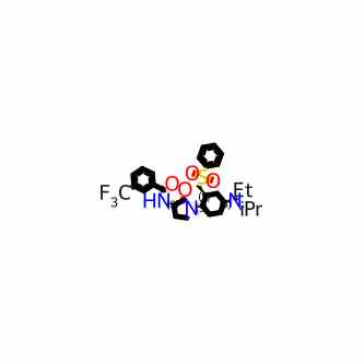 CCN(C(C)C)[C@H]1CC[C@H](N2CC[C@H](NC(=O)c3cccc(C(F)(F)F)c3)C2=O)[C@@H](CS(=O)(=O)c2ccccc2)C1